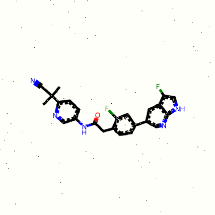 CC(C)(C#N)c1ccc(NC(=O)Cc2ccc(-c3cnc4[nH]cc(F)c4c3)cc2F)cn1